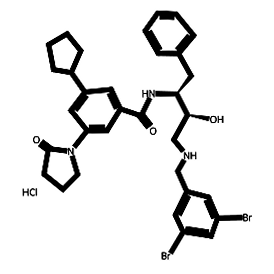 Cl.O=C(N[C@@H](Cc1ccccc1)[C@@H](O)CNCc1cc(Br)cc(Br)c1)c1cc(C2CCCC2)cc(N2CCCC2=O)c1